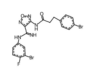 N=C(Nc1ccc(F)c(Br)c1)c1nonc1NC(=O)CCc1ccc(Br)cc1